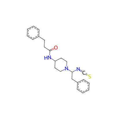 O=C(CCc1ccccc1)NC1CCN(C(Cc2ccccc2)N=C=S)CC1